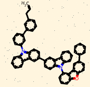 C=CCc1cccc(-c2cccc(-n3c4ccccc4c4cc(-c5ccc6c(c5)c5ccccc5n6-c5cccc6oc7ccc(-c8ccccc8)cc7c56)ccc43)c2)c1